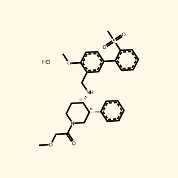 COCC(=O)N1CC[C@H](NCc2cc(-c3ccccc3S(C)(=O)=O)ccc2OC)[C@H](c2ccccc2)C1.Cl